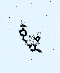 CC1(C)[C@@H](O)C[C@H]1Nc1nc(NCCc2ccc(S(C)(=O)=O)cc2)ncc1C#N